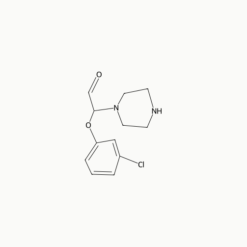 O=CC(Oc1cccc(Cl)c1)N1CCNCC1